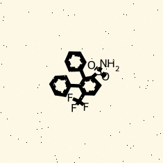 NS(=O)(=O)c1ccc(C(F)(F)F)c(-c2ccccc2)c1-c1ccccc1